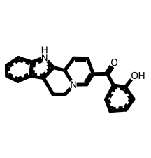 O=C(C1=CN2CCc3c([nH]c4ccccc34)C2C=C1)c1ccccc1O